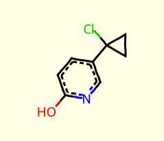 Oc1ccc(C2(Cl)CC2)cn1